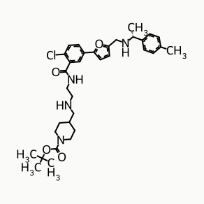 Cc1ccc([C@@H](C)NCc2ccc(-c3ccc(Cl)c(C(=O)NCCNCC4CCN(C(=O)OC(C)(C)C)CC4)c3)o2)cc1